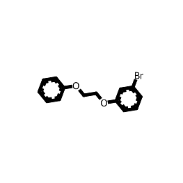 Brc1cccc(OCCOc2ccccc2)c1